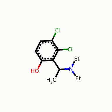 CCN(CC)C(C)c1c(O)ccc(Cl)c1Cl